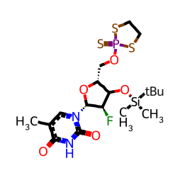 Cc1cn([C@@H]2O[C@H](COP3(=S)SCCS3)C(O[Si](C)(C)C(C)(C)C)[C@H]2F)c(=O)[nH]c1=O